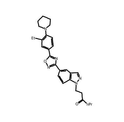 CCCC(=O)CCn1ncc2cc(-c3noc(-c4ccc(N5CCCCC5)c(CC)c4)n3)ccc21